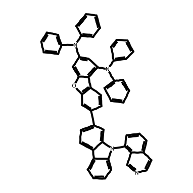 c1ccc(N(c2ccccc2)c2cc(N(c3ccccc3)c3ccccc3)c3c(c2)oc2cc(-c4ccc5c6ccccc6n(-c6cccc7ccncc67)c5c4)ccc23)cc1